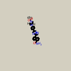 CC(C)(C)OC(=O)N1C[C@@H]2C[C@H]1CN2c1ccc(-c2cnc3c(-c4cccc5c(C(N)=O)cccc45)cnn3c2)cc1